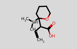 C=CC(C(=O)O)C1([SiH](C)C)CCCCO1